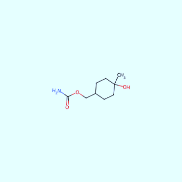 CC1(O)CCC(COC(N)=O)CC1